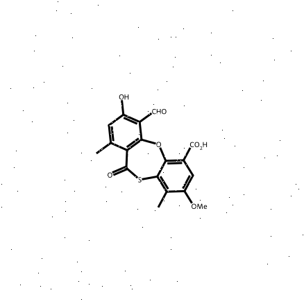 COc1cc(C(=O)O)c2c(c1C)SC(=O)c1c(C)cc(O)c(C=O)c1O2